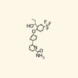 CCC(O)c1cc(C(F)(F)F)ccc1Oc1ccc(-c2cccc(C(N)=O)n2)cc1